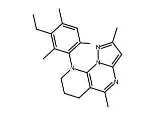 CCc1c(C)cc(C)c(N2CCCc3c(C)nc4cc(C)nn4c32)c1C